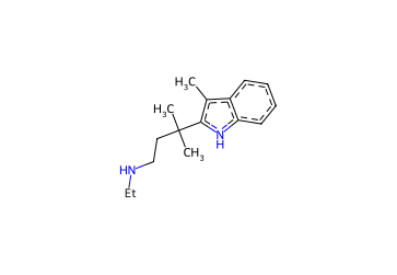 CCNCCC(C)(C)c1[nH]c2ccccc2c1C